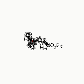 CCOC(=O)CNC(=O)Nc1cccc(-c2ccc([C@@]3(CC(=O)NOC4CCCCO4)CCCCS3(=O)=O)s2)c1